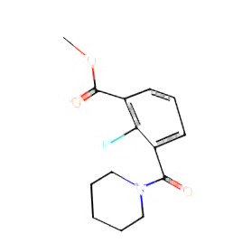 COC(=O)c1cccc(C(=O)N2CCCCC2)c1F